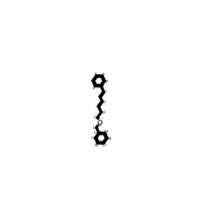 C(/C=C/c1ccccc1)=C\CCOCc1ccccc1